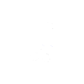 CC1(c2ccccc2)c2ccccc2CN=C2C(Cc3ccccc3)CCN21